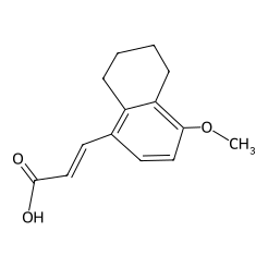 COc1ccc(C=CC(=O)O)c2c1CCCC2